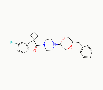 O=C(N1CCN(C2COC(Cc3ccccc3)CO2)CC1)C1(c2cccc(F)c2)CCC1